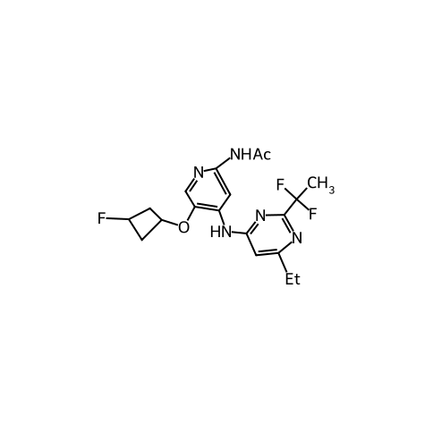 CCc1cc(Nc2cc(NC(C)=O)ncc2OC2CC(F)C2)nc(C(C)(F)F)n1